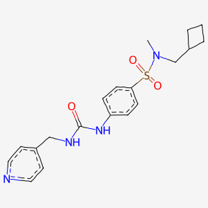 CN(CC1CCC1)S(=O)(=O)c1ccc(NC(=O)NCc2ccncc2)cc1